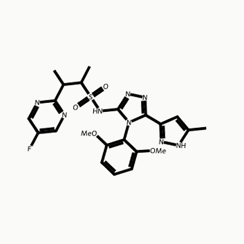 COc1cccc(OC)c1-n1c(NS(=O)(=O)C(C)C(C)c2ncc(F)cn2)nnc1-c1cc(C)[nH]n1